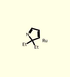 CCC1(CC)C=CC=N1.[Ru]